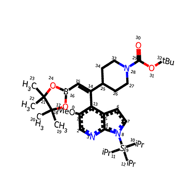 COc1cnc2c(ccn2[Si](C(C)C)(C(C)C)C(C)C)c1/C(=C\B1OC(C)(C)C(C)(C)O1)C1CCN(C(=O)OC(C)(C)C)CC1